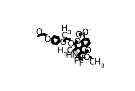 CCOC(=O)C1=C(C(F)(F)F)NC(C)=C(C(=O)OCC(C)Oc2ccc(OCC3CO3)cc2)C1c1cccc([N+](=O)[O-])c1